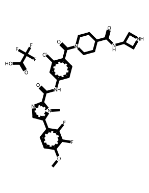 COc1ccc(-c2cnc(C(=O)Nc3ccc(C(=O)N4CCC(C(=O)NC5CNC5)CC4)c(Cl)c3)n2C)c(F)c1F.O=C(O)C(F)(F)F